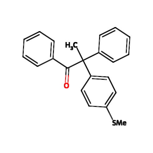 CSc1ccc(C(C)(C(=O)c2ccccc2)c2ccccc2)cc1